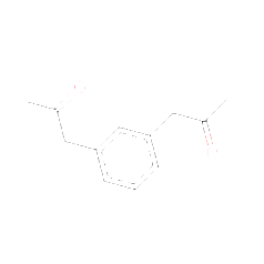 CC(=O)Cc1cccc(CC(C)=O)c1